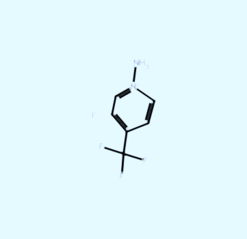 N[n+]1ccc(C(F)(F)F)cc1.[I-]